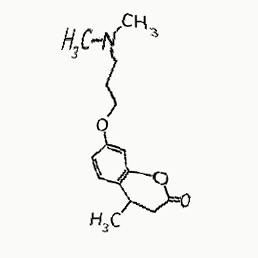 CC1CC(=O)Oc2cc(OCCCN(C)C)ccc21